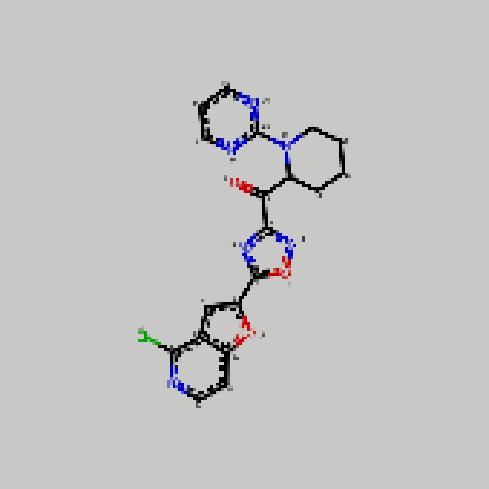 O=C(c1noc(-c2cc3c(Cl)nccc3o2)n1)C1CCCCN1c1ncccn1